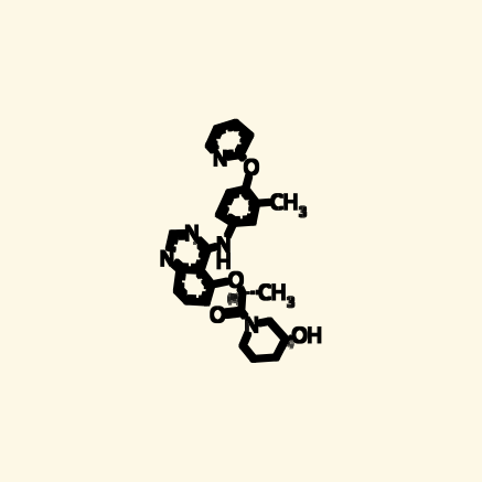 Cc1cc(Nc2ncnc3cccc(O[C@H](C)C(=O)N4CCC[C@@H](O)C4)c23)ccc1Oc1ccccn1